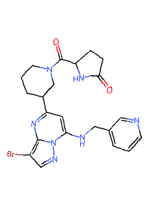 O=C1CCC(C(=O)N2CCCC(c3cc(NCc4cccnc4)n4ncc(Br)c4n3)C2)N1